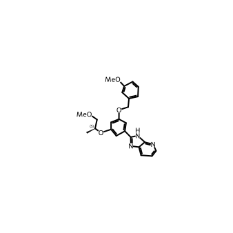 COC[C@H](C)Oc1cc(OCc2cccc(OC)c2)cc(-c2nc3cccnc3[nH]2)c1